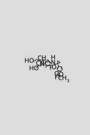 CC1(F)Oc2ccc(C3(C(=O)Nc4cc5cc(C(C)(C)CCO)n(CCO)c5cc4F)CC3)cc2O1